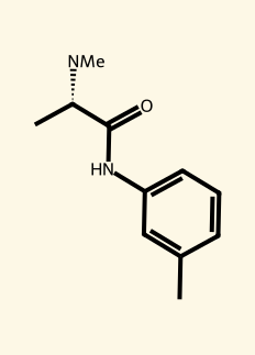 CN[C@@H](C)C(=O)Nc1cccc(C)c1